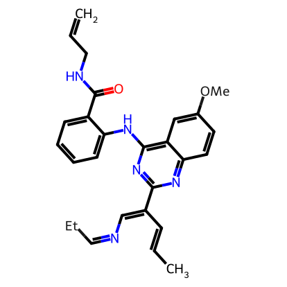 C=CCNC(=O)c1ccccc1Nc1nc(C(/C=C/C)=C/N=C\CC)nc2ccc(OC)cc12